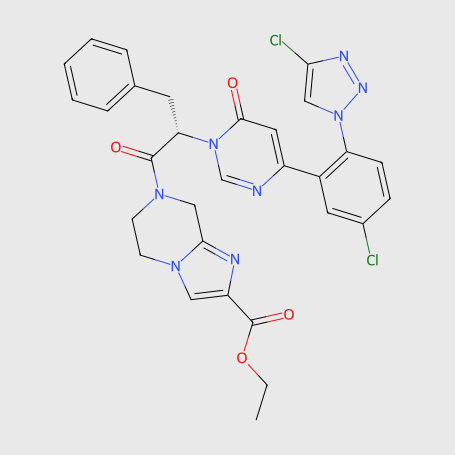 CCOC(=O)c1cn2c(n1)CN(C(=O)[C@H](Cc1ccccc1)n1cnc(-c3cc(Cl)ccc3-n3cc(Cl)nn3)cc1=O)CC2